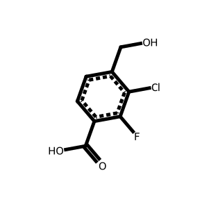 O=C(O)c1ccc(CO)c(Cl)c1F